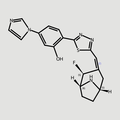 Oc1cc(-n2ccnc2)ccc1-c1nnc(/C=C2/C[C@@H]3CC[C@@H](N3)[C@H]2F)s1